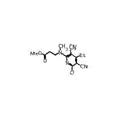 CCc1c(C#N)c(Cl)nc(N(C)CCC(=O)OC)c1C#N